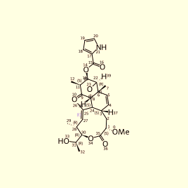 CO[C@H]1C[C@H]2C=C[C@]3(C)[C@H]4C(=O)[C@@H](C)[C@@H](OC(=O)c5ccc[nH]5)[C@@H]3O[C@@]24/C(C)=C/[C@@H](C)[C@H]([C@@H](C)O)OC1=O